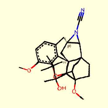 COc1ccc2c3c1OC1C4(OC)CCC5(CC4C(C)(O)C(C)(C)C)C4N(C#N)[C@]4(C2)C[C@]315